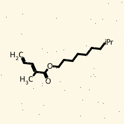 C=CC=C(C)C(=O)OCCCCCCCC(C)C